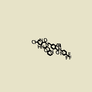 O=C(Nc1ccc(C(F)(F)F)cn1)c1ccc(CN2C(=O)c3ncc(Cl)cc3NC(=O)[C@H]2Cc2ccccn2)cc1Cl